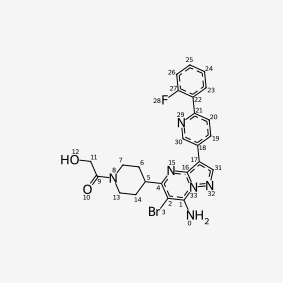 Nc1c(Br)c(C2CCN(C(=O)CO)CC2)nc2c(-c3ccc(-c4ccccc4F)nc3)cnn12